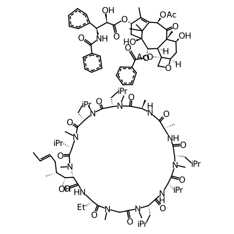 C/C=C/C[C@@H](C)[C@@H](O)[C@H]1C(=O)N[C@@H](CC)C(=O)N(C)CC(=O)N(C)[C@@H](CC(C)C)C(=O)N[C@@H](C(C)C)C(=O)N(C)[C@@H](CC(C)C)C(=O)N[C@@H](C)C(=O)N[C@H](C)C(=O)N(C)[C@@H](CC(C)C)C(=O)N(C)[C@@H](CC(C)C)C(=O)N(C)[C@@H](C(C)C)C(=O)N1C.CC(=O)O[C@H]1C(=O)[C@@]2(C)[C@H]([C@H](OC(=O)c3ccccc3)[C@]3(O)C[C@H](OC(=O)[C@H](O)[C@@H](NC(=O)c4ccccc4)c4ccccc4)C(C)=C1C3(C)C)[C@]1(OC(C)=O)CO[C@@H]1C[C@@H]2O